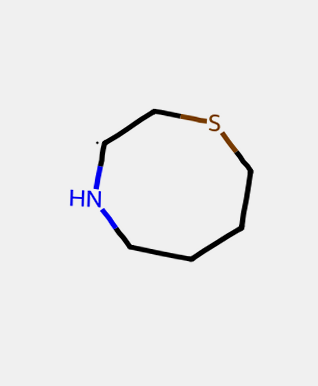 [CH]1CSCCCCN1